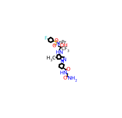 CCCN(CC(O)(CNc1cc(C)cc2c1cnn2-c1cccc(C(=O)NCC(N)=O)c1)C(F)(F)F)S(=O)(=O)c1ccc(F)cc1